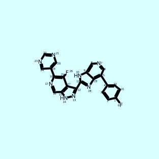 Fc1ccc(-c2cncc3[nH]c(-c4n[nH]c5cnc(-c6cncnc6)c(F)c45)nc23)cc1